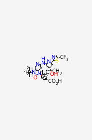 [2H]C([2H])([2H])n1c(=O)n(C23CCC(C(=O)O)(CC2)CC3)c2cc(Nc3cc(C(C)(C)O)cc(-c4ncc(C(F)(F)F)s4)n3)ncc21